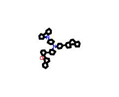 c1cc(-c2cccc3oc4c5ccccc5ccc4c23)cc(N(c2ccc(-c3ccc4c(ccc5ccccc54)c3)cc2)c2ccc(-n3c4ccccc4c4ccccc43)cc2)c1